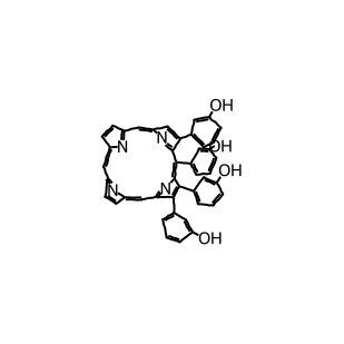 Oc1cccc(C2=CC3=CC4=NC(=CC5=NC(=CC6=NC(=C(c7cccc(O)c7)C2=N3)C(c2cccc(O)c2)=C6c2cccc(O)c2)C=C5)C=C4)c1